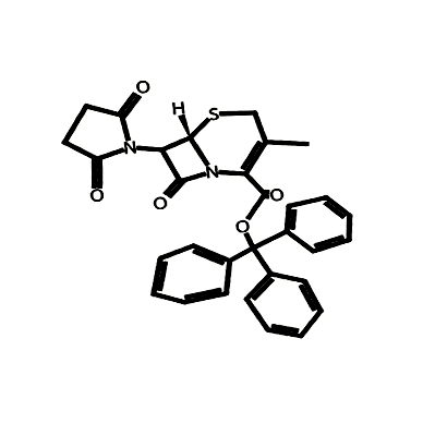 CC1=C(C(=O)OC(c2ccccc2)(c2ccccc2)c2ccccc2)N2C(=O)C(N3C(=O)CCC3=O)[C@@H]2SC1